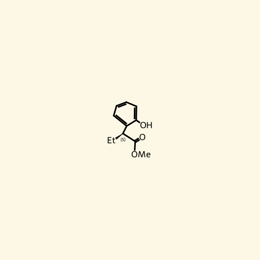 CC[C@H](C(=O)OC)c1ccccc1O